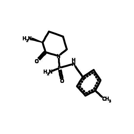 Cc1ccc(NP(N)(=O)N2CCC[C@H](N)C2=O)cc1